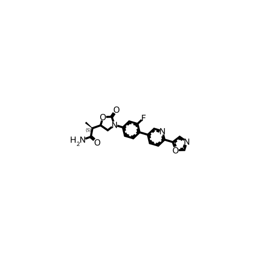 C[C@H](C(N)=O)C1CN(c2ccc(-c3ccc(-c4cnco4)nc3)c(F)c2)C(=O)O1